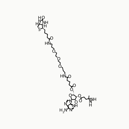 CC1(CCC(=O)O[C@@H]2[C@@H](O)[C@H](n3cnc4c(N)ncnc43)O[C@@H]2COC(=O)CCCC(=O)NCCCOCCOCCOCCCNC(=O)CCCC[C@H]2SC[C@H]3NC(=O)N[C@H]32)NN1